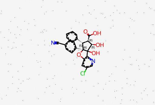 N#Cc1ccc([C@@]23Oc4cc(Cl)cnc4C2(O)[C@H](O)[C@H](C(=O)O)[C@H]3c2ccccc2)cc1